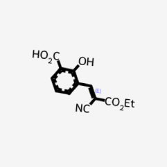 CCOC(=O)/C(C#N)=C/c1cccc(C(=O)O)c1O